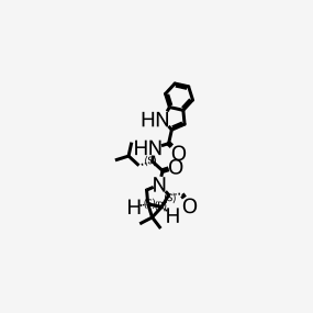 CC(C)C[C@H](NC(=O)c1cc2ccccc2[nH]1)C(=O)N1C[C@H]2[C@@H]([C@H]1C=O)C2(C)C